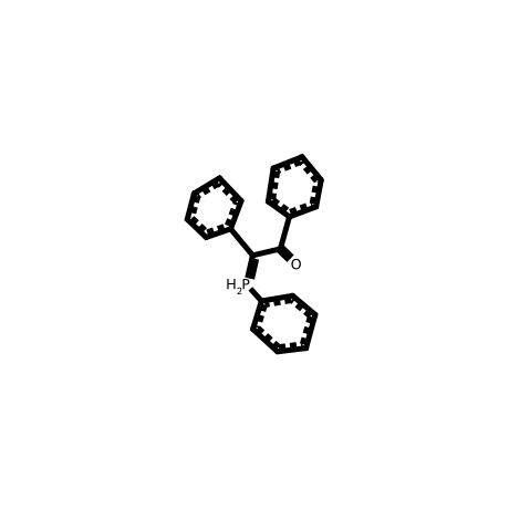 O=C(C(=[PH2]c1ccccc1)c1ccccc1)c1ccccc1